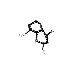 FC(F)(F)c1cccc2c(Br)cc(C(Cl)(Cl)Cl)nc12